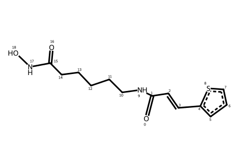 O=C(C=Cc1cccs1)NCCCCCC(=O)NO